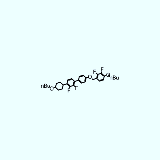 CCCCOc1ccc(COc2ccc(-c3ccc(C4CCC(OCCCC)CC4)c(F)c3F)cc2)c(F)c1F